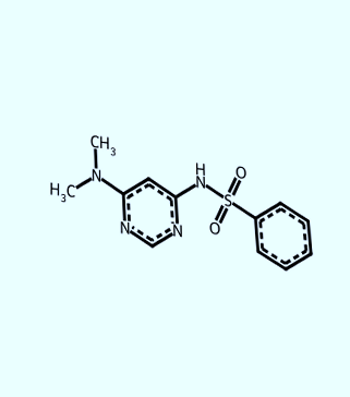 CN(C)c1cc(NS(=O)(=O)c2ccccc2)ncn1